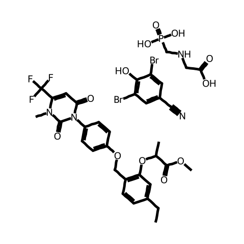 CCc1ccc(COc2ccc(-n3c(=O)cc(C(F)(F)F)n(C)c3=O)cc2)c(OC(C)C(=O)OC)c1.N#Cc1cc(Br)c(O)c(Br)c1.O=C(O)CNCP(=O)(O)O